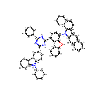 c1ccc(-c2nc(-c3ccc4c(c3)c3ccccc3n4-c3ccccc3)nc(-c3ccc(-n4c5cc6ccccc6cc5c5ccc6ccccc6c54)c4oc5ccccc5c34)n2)cc1